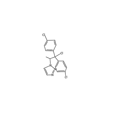 CC(n1ccnn1)C(Cl)(c1ccc(Cl)cc1)c1ccc(Cl)cc1